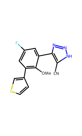 COc1c(-c2ccsc2)cc(F)cc1-c1nn[nH]c1C#N